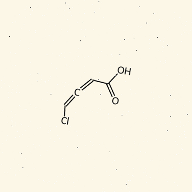 O=C(O)C=C=CCl